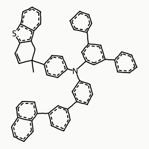 CC1(c2ccc(N(c3cccc(-c4cccc(-c5cccc6ccccc56)c4)c3)c3cc(-c4ccccc4)cc(-c4ccccc4)c3)cc2)C=Cc2sc3ccccc3c2C1